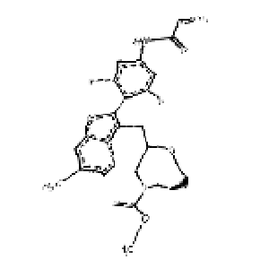 C=CC(=O)Nc1cc(F)c(-c2nc3cc(C)ccn3c2CC2CN(C(=O)OC)CCO2)c(F)c1